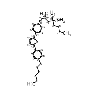 CCCCCCc1ccc(-c2ccc(-c3ccc(OC(C)CC(C)([SiH3])CCCC)cc3)s2)cc1